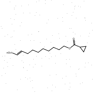 CCCCCCCCC=CCCCCCCCCOC(=O)C1CC1